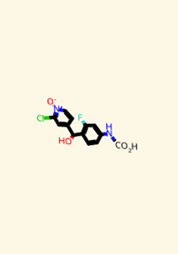 O=C(O)Nc1ccc(C(O)c2cc[n+]([O-])c(Cl)c2)c(F)c1